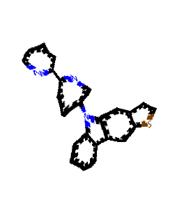 c1ccc(-c2ccc(-n3c4ccccc4c4cc5sccc5cc43)cn2)nc1